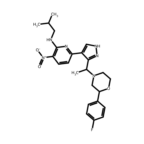 CC(C)CNc1nc(-c2c[nH]nc2C(C)N2CCOC(c3ccc(F)cc3)C2)ccc1[N+](=O)[O-]